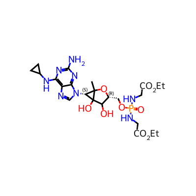 CCOC(=O)CNP(=O)(NCC(=O)OCC)OC[C@H]1OC2(C)[C@@H](n3cnc4c(NC5CC5)nc(N)nc43)C2(O)C1O